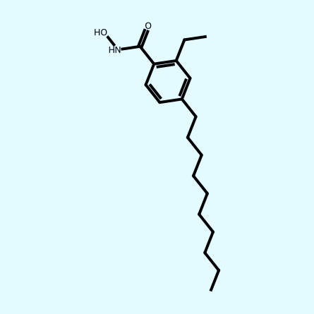 CCCCCCCCCCc1ccc(C(=O)NO)c(CC)c1